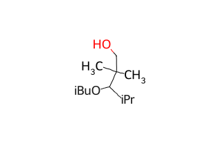 CC(C)COC(C(C)C)C(C)(C)CO